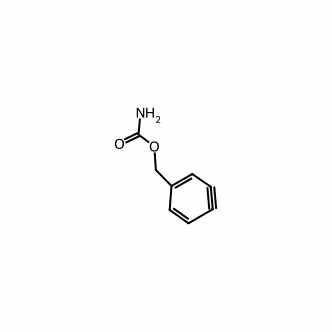 NC(=O)OCc1cc#ccc1